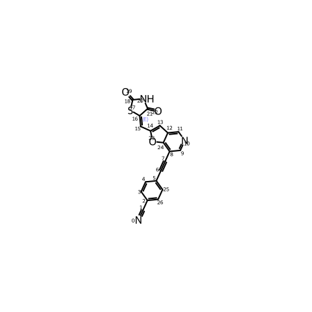 N#Cc1ccc(C#Cc2cncc3cc(/C=C4/SC(=O)NC4=O)oc23)cc1